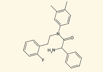 Cc1ccc(N(CCc2ccccc2F)C(=O)C(N)c2ccccc2)cc1C